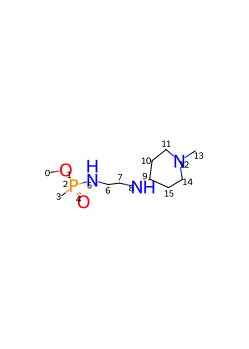 COP(C)(=O)NCCNC1CCN(C)CC1